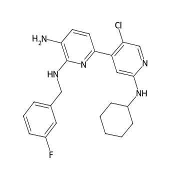 Nc1ccc(-c2cc(NC3CCCCC3)ncc2Cl)nc1NCc1cccc(F)c1